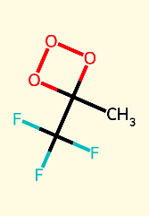 CC1(C(F)(F)F)OOO1